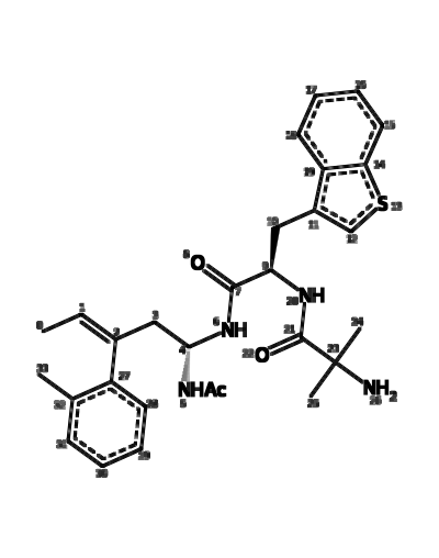 C/C=C(/C[C@@H](NC(C)=O)NC(=O)[C@@H](Cc1csc2ccccc12)NC(=O)C(C)(C)N)c1ccccc1C